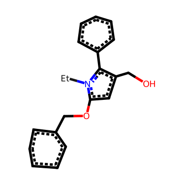 CCn1c(OCc2ccccc2)cc(CO)c1-c1ccccc1